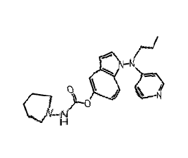 CCCN(c1ccncc1)n1ccc2cc(OC(=O)NN3CCCCC3)ccc21